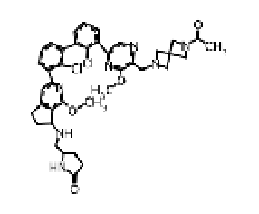 COc1nc(-c2cccc(-c3cccc(-c4cc5c(c(OC)n4)C(NCC4CCC(=O)N4)CC5)c3Cl)c2Cl)cnc1CN1CC2(C1)CN(C(C)=O)C2